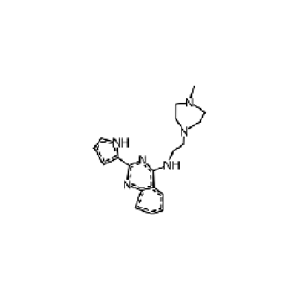 CN1CCN(CCNc2nc(-c3ccc[nH]3)nc3ccccc23)CC1